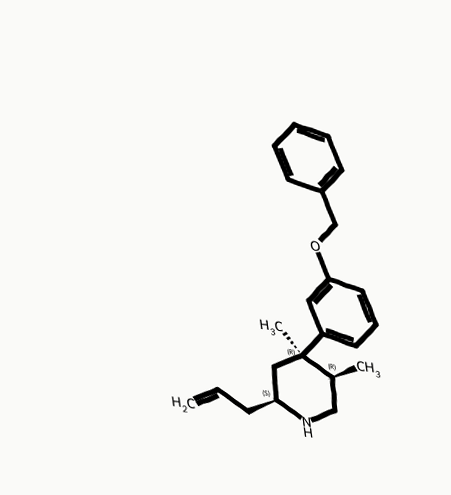 C=CC[C@H]1C[C@@](C)(c2cccc(OCc3ccccc3)c2)[C@@H](C)CN1